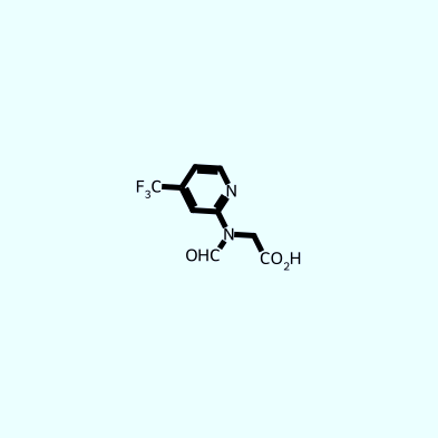 O=CN(CC(=O)O)c1cc(C(F)(F)F)ccn1